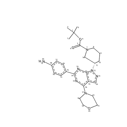 CC(C)(C)OC(=O)N1CCC[C@H](n2ncc3c(N4CCOCC4)nc(-c4ccc(N)cc4)nc32)C1